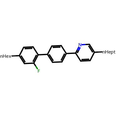 CCCCCCCc1ccc(-c2ccc(-c3ccc(CCCCCC)cc3F)cc2)nc1